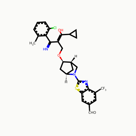 Cc1cccc(Cl)c1C(=N)/C(CO[C@@H]1C[C@H]2C[C@H]1CN2c1nc2c(C(F)(F)F)cc(C=O)cc2s1)=C(\O)C1CC1